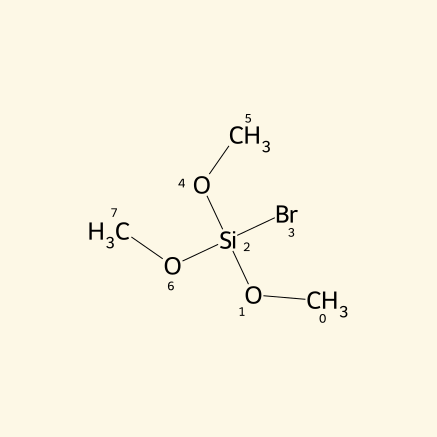 CO[Si](Br)(OC)OC